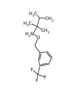 CC(C)C(C)(C)[SiH2]OCc1cccc(C(F)(F)F)c1